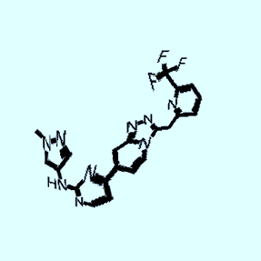 Cn1cc(Nc2nccc(-c3ccn4c(Cc5cccc(C(F)(F)F)n5)nnc4c3)n2)cn1